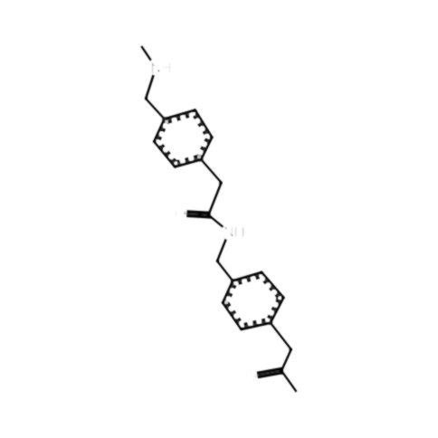 CNCc1ccc(CC(=O)NCc2ccc(CC(C)=O)cc2)cc1